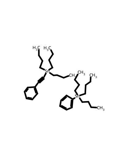 CCC[CH2][Sn]([CH2]CCC)([CH2]CCC)[c]1ccccc1.CCC[CH2][Sn]([C]#Cc1ccccc1)([CH2]CCC)[CH2]CCC